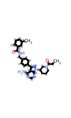 C=CC(=O)N1CCCC(n2nc(-c3ccc(CNC(=O)c4cc(C)ccc4F)cc3)c3c(N)ncnc32)C1